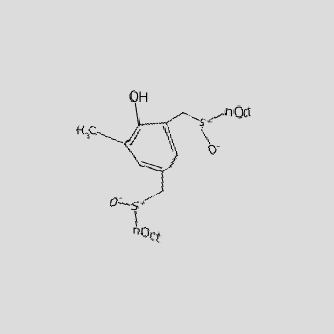 CCCCCCCC[S+]([O-])Cc1cc(C)c(O)c(C[S+]([O-])CCCCCCCC)c1